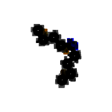 c1cc(-c2cccc(-c3ncnc4c3sc3ccc(-c5cccc(-c6cccc7c6sc6ccccc67)c5)cc34)c2)cc(-c2cccc3c2sc2ccccc23)c1